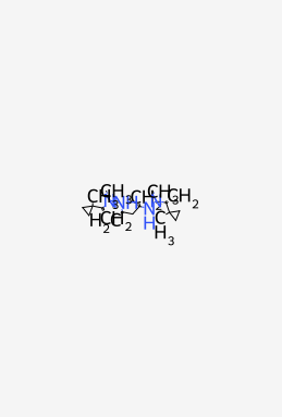 C=C(CC(=C)NN(C)C(=C)C1(C)CC1)NN(C)C(=C)C1(C)CC1